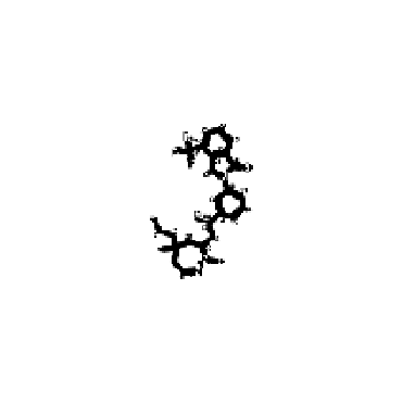 CCCC1(C)CC=NN(C)C(C[C@@H](C)c2cccc(N3Cc4c(cccc4C(F)(F)F)C3=O)c2)C1